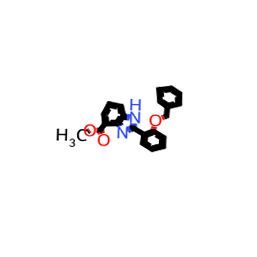 COC(=O)c1cccc2[nH]c(-c3ccccc3OCc3ccccc3)nc12